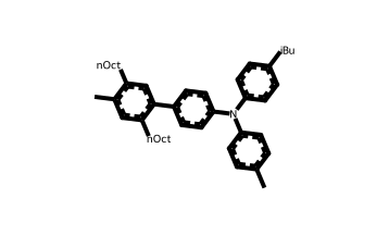 CCCCCCCCc1cc(-c2ccc(N(c3ccc(C)cc3)c3ccc(C(C)CC)cc3)cc2)c(CCCCCCCC)cc1C